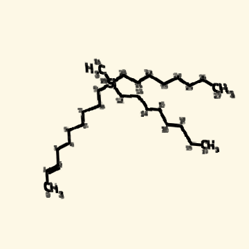 CC=CCCCCCCC[Si](C)(CCCCCCCC)CCCCCCCC